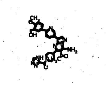 COc1ccc(-c2ccc(-c3cnn4c(N)c(C(C)=O)c(C5CCN(C(=O)c6nnc[nH]6)CC5)nc34)cn2)cc1CO